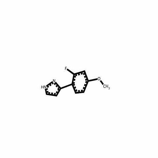 COc1ccc(-c2cc[nH]n2)c(F)c1